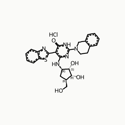 Cl.O=c1[nH]c(N2CCc3ccccc3C2)nc(N[C@@H]2C[C@H](CO)[C@@H](O)[C@H]2O)c1-c1nc2ccccc2s1